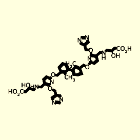 Cc1c(COc2ccc(CNC[C@@H](O)CC(=O)O)c(OCc3cncnc3)n2)cccc1-c1cccc(COc2ccc(CNC[C@@H](O)CC(=O)O)c(OCc3cncnc3)n2)c1C